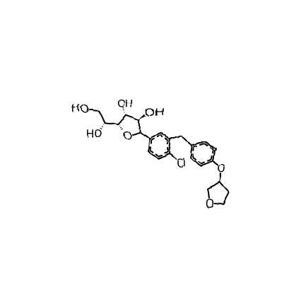 OC[C@@H](O)[C@H]1OC(c2ccc(Cl)c(Cc3ccc(O[C@H]4CCOC4)cc3)c2)[C@H](O)[C@H]1O